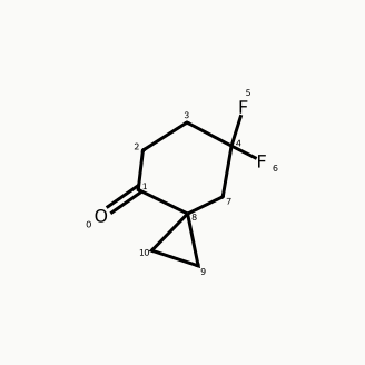 O=C1CCC(F)(F)CC12CC2